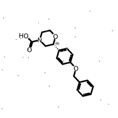 O=C(O)N1CCO[C@H](c2ccc(OCc3ccccc3)cc2)C1